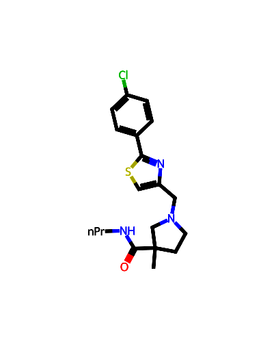 CCCNC(=O)C1(C)CCN(Cc2csc(-c3ccc(Cl)cc3)n2)C1